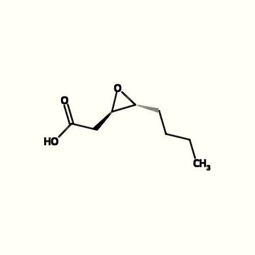 CCCC[C@H]1O[C@@H]1CC(=O)O